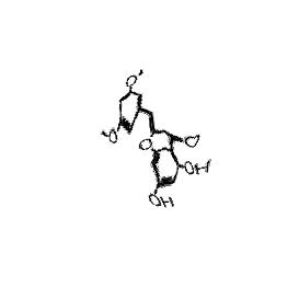 COc1cc(/C=C2\Oc3cc(O)cc(O)c3C2=O)cc(OC)c1